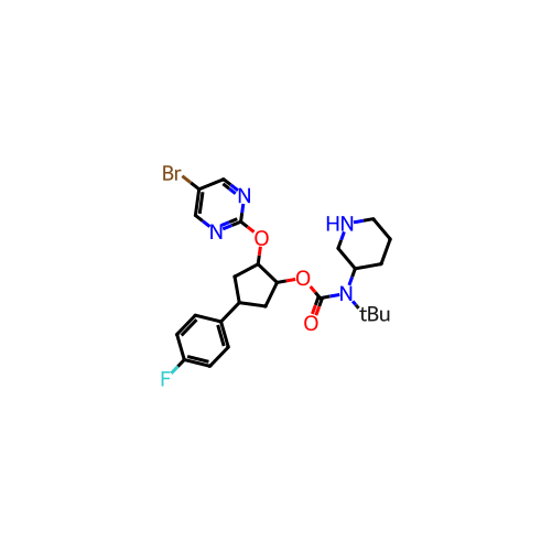 CC(C)(C)N(C(=O)OC1CC(c2ccc(F)cc2)CC1Oc1ncc(Br)cn1)C1CCCNC1